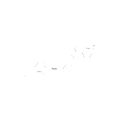 COc1ccnc(C#C/C=C2\CCN(C(=O)c3cccc(Cl)c3)CC2(C)C)c1